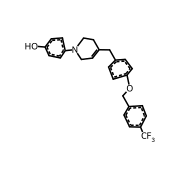 Oc1ccc(N2CC=C(Cc3ccc(OCc4ccc(C(F)(F)F)cc4)cc3)CC2)cc1